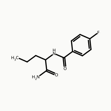 CCCC(NC(=O)c1ccc(F)cc1)C(N)=O